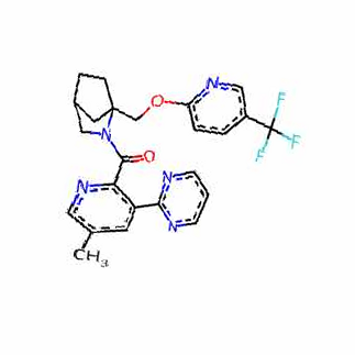 Cc1cnc(C(=O)N2CC3CCC2(COc2ccc(C(F)(F)F)cn2)C3)c(-c2ncccn2)c1